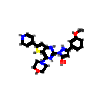 CC(C)Oc1cccc(-c2cc(O)n(-c3nc(N4CCOCC4)c4sc(-c5ccncc5)cc4n3)n2)c1